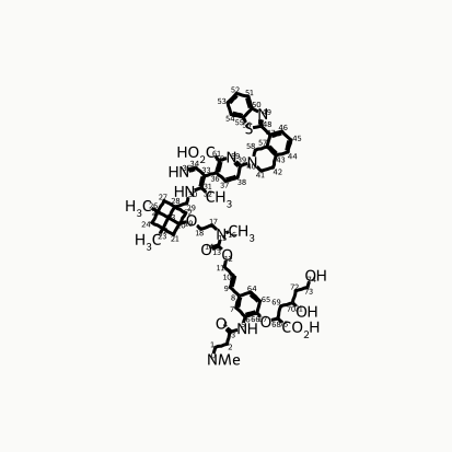 CNCCC(=O)Nc1cc(/C=C/COC(=O)N(C)CCOC23CC4(C)CC5(C)CC(CN/C(C)=C(\C=N)c6ccc(N7CCc8cccc(-c9nc%10ccccc%10s9)c8C7)nc6C(=O)O)(C2)C543)ccc1OC(CC(O)CCO)C(=O)O